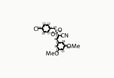 COc1cc(/C=C(\C#N)S(=O)(=O)Cc2ccc(Cl)cc2)cc(OC)c1